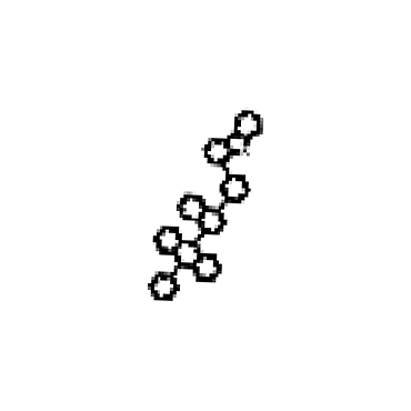 c1ccc(-c2c3ccccc3c(-c3ccc(-c4cccc(-c5cccc6c5sc5ccccc56)c4)c4ccccc34)c3ccccc23)cc1